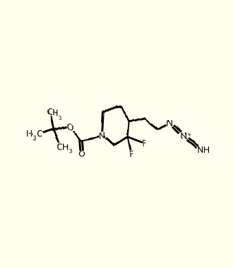 CC(C)(C)OC(=O)N1CCC(CCN=[N+]=N)C(F)(F)C1